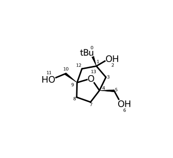 CC(C)(C)[C@@]1(O)C[C@]2(CO)CC[C@](CO)(C1)O2